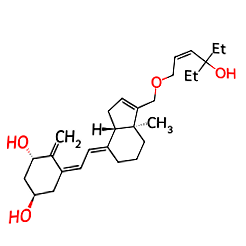 C=C1C(=CC=C2CCC[C@]3(C)C(COC/C=C\C(O)(CC)CC)=CC[C@@H]23)C[C@@H](O)C[C@@H]1O